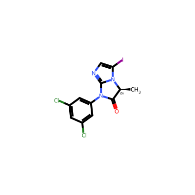 C[C@H]1C(=O)N(c2cc(Cl)cc(Cl)c2)c2ncc(I)n21